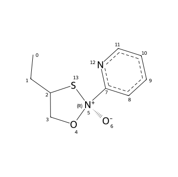 CCC1CO[N@+]([O-])(c2ccccn2)S1